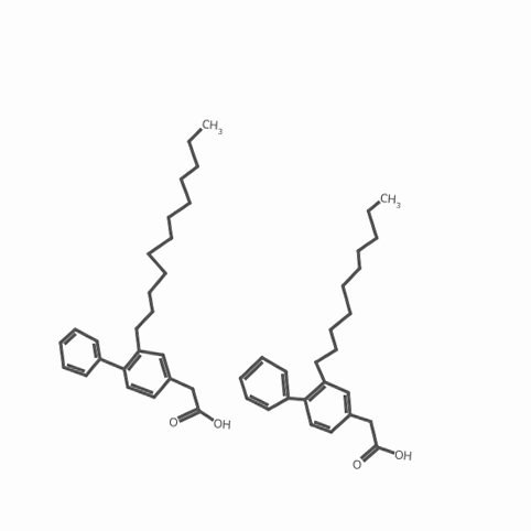 CCCCCCCCCCCCc1cc(CC(=O)O)ccc1-c1ccccc1.CCCCCCCCCCc1cc(CC(=O)O)ccc1-c1ccccc1